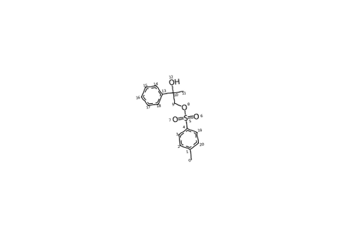 Cc1ccc(S(=O)(=O)OCC(C)(O)c2ccccc2)cc1